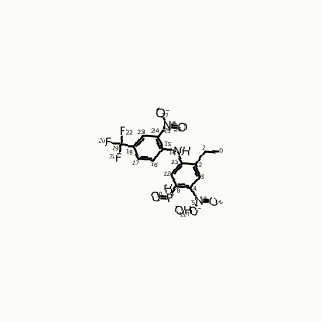 CCc1cc([N+](=O)[O-])c([PH](=O)O)cc1Nc1ccc(C(F)(F)F)cc1[N+](=O)[O-]